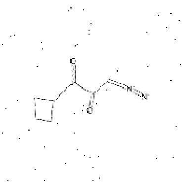 [N-]=[N+]=CC(=O)C(=O)C1CCC1